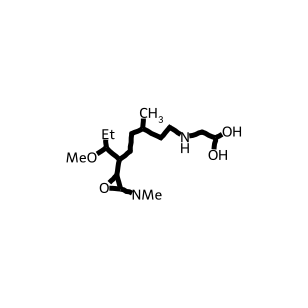 CCC(OC)C(CCC(C)CCNCC(O)O)C1OC1NC